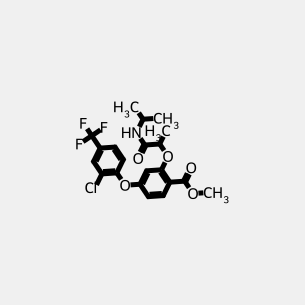 COC(=O)c1ccc(Oc2ccc(C(F)(F)F)cc2Cl)cc1OC(C)C(=O)NC(C)C